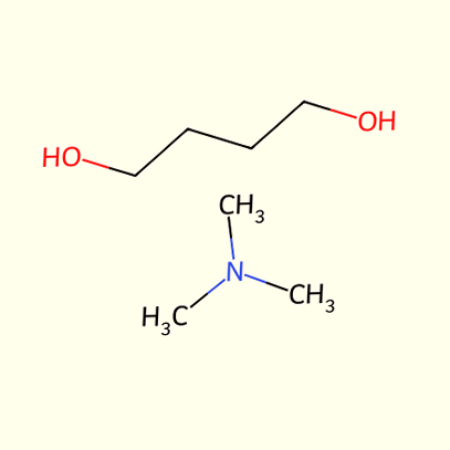 CN(C)C.OCCCCO